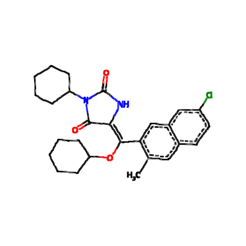 Cc1cc2ccc(Cl)cc2cc1/C(OC1CCCCC1)=C1\NC(=O)N(C2CCCCC2)C1=O